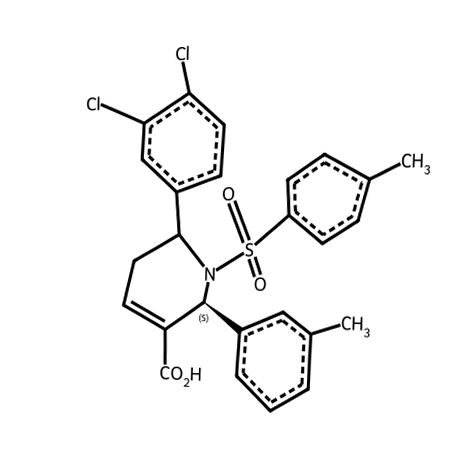 Cc1ccc(S(=O)(=O)N2C(c3ccc(Cl)c(Cl)c3)CC=C(C(=O)O)[C@@H]2c2cccc(C)c2)cc1